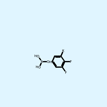 Fc1ccc[c]([K])c1F.OB(O)O